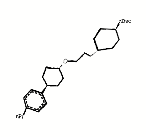 CCCCCCCCCC[C@H]1CC[C@H](CCCO[C@H]2CC[C@H](c3ccc(CCC)cc3)CC2)CC1